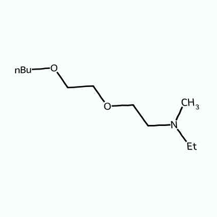 CCCCOCCOCCN(C)CC